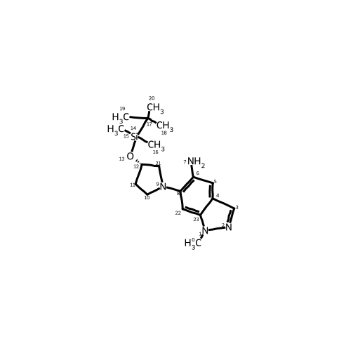 Cn1ncc2cc(N)c(N3CC[C@H](O[Si](C)(C)C(C)(C)C)C3)cc21